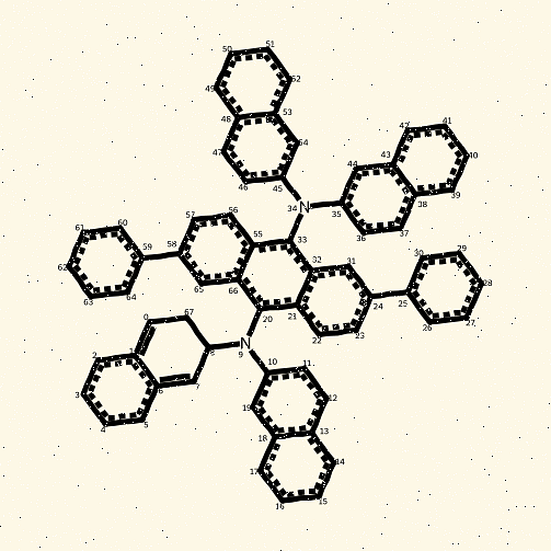 C1=c2ccccc2=CC(N(c2ccc3ccccc3c2)c2c3ccc(-c4ccccc4)cc3c(N(c3ccc4ccccc4c3)c3ccc4ccccc4c3)c3ccc(-c4ccccc4)cc23)C1